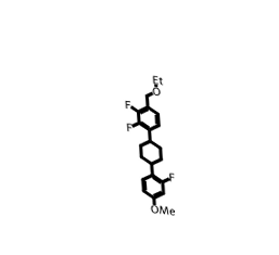 CCOCc1ccc(C2CCC(c3ccc(OC)cc3F)CC2)c(F)c1F